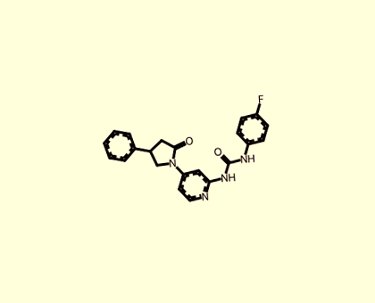 O=C(Nc1ccc(F)cc1)Nc1cc(N2CC(c3ccccc3)CC2=O)ccn1